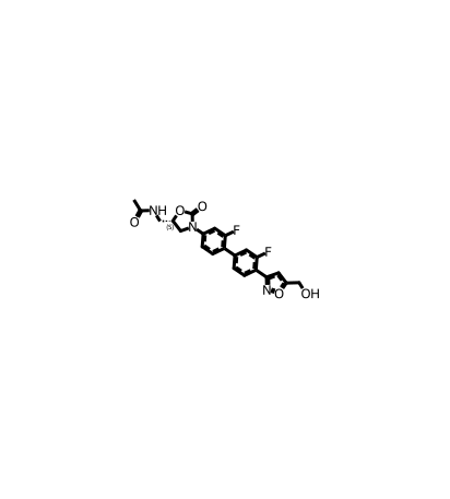 CC(=O)NC[C@H]1CN(c2ccc(-c3ccc(-c4cc(CO)on4)c(F)c3)c(F)c2)C(=O)O1